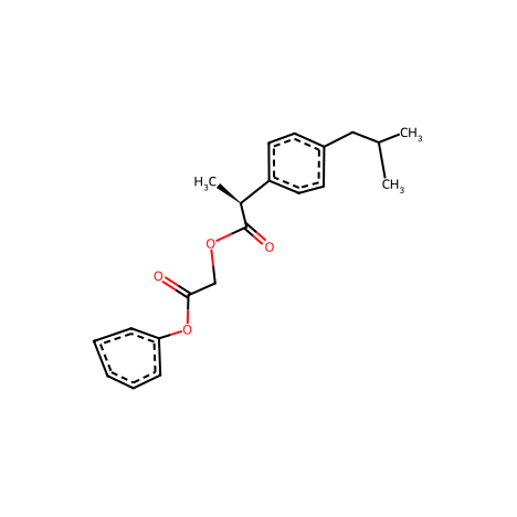 CC(C)Cc1ccc([C@H](C)C(=O)OCC(=O)Oc2ccccc2)cc1